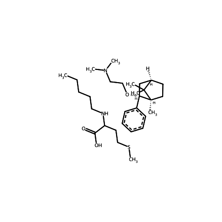 CCCCCNC(CCSC)C(=O)O.CN(C)CCO[C@]1(c2ccccc2)C[C@H]2CC[C@]1(C)C2(C)C